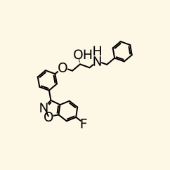 O[C@H](CNCc1ccccc1)COc1cccc(-c2noc3cc(F)ccc23)c1